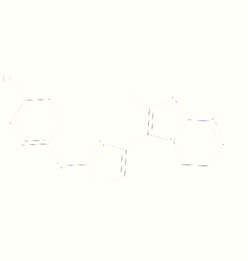 Cc1ccc(Nc2nc(-c3c(C)nc4n3CCC=N4)cs2)cc1